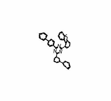 c1ccc(-c2ccc(-c3nc(-c4cccc(-c5ccccc5)c4)nc(-c4cccc5sc6ccccc6c45)n3)cc2)cc1